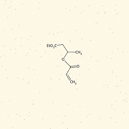 C=CC(=O)OC(C)CC(=O)OCC